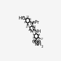 CCCN(c1ccnc(Nc2ccc(S(N)(=O)=O)c(C)c2)n1)c1ccc(O)cc1C